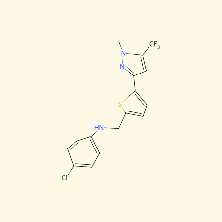 Cn1nc(-c2ccc(CNc3ccc(Cl)cc3)s2)cc1C(F)(F)F